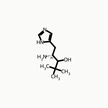 CC(C)(C)C(O)[C@H](N)Cc1cnc[nH]1